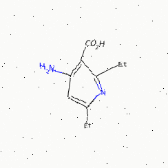 CCc1cc(N)c(C(=O)O)c(CC)n1